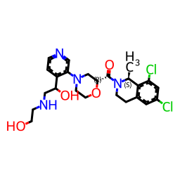 C[C@H]1c2c(Cl)cc(Cl)cc2CCN1C(=O)[C@H]1CN(c2cnccc2C(O)CNCCO)CCO1